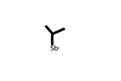 C[CH](C)[Sb]